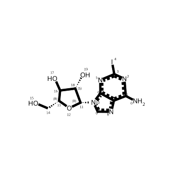 Nc1nc(I)nc2c1ncn2[C@@H]1O[C@H](CO)C(O)[C@@H]1O